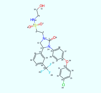 O=C1N(CCS(=O)(=O)NCCO)CC(c2cccc(C(F)(F)F)c2)N1c1ccc(Oc2ccc(Cl)cc2)cc1